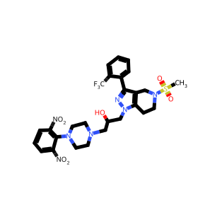 CS(=O)(=O)N1CCc2c(c(-c3ccccc3C(F)(F)F)nn2CC(O)CN2CCN(c3c([N+](=O)[O-])cccc3[N+](=O)[O-])CC2)C1